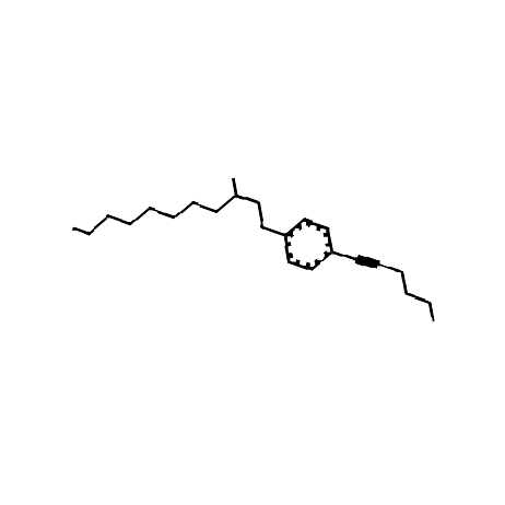 CCCCC#Cc1ccc(C[CH]C(C)CCCCCCCC)cc1